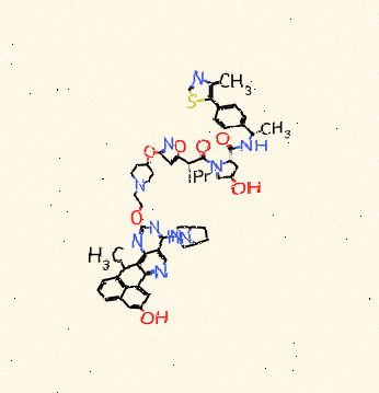 Cc1ncsc1-c1ccc([C@H](C)NC(=O)[C@@H]2C[C@@H](O)CN2C(=O)[C@@H](c2cc(OC3CCN(CCOc4nc(N5CC6CCC(C5)N6)c5cnc6c(c5n4)C(C)c4cccc5cc(O)cc-6c45)CC3)no2)C(C)C)cc1